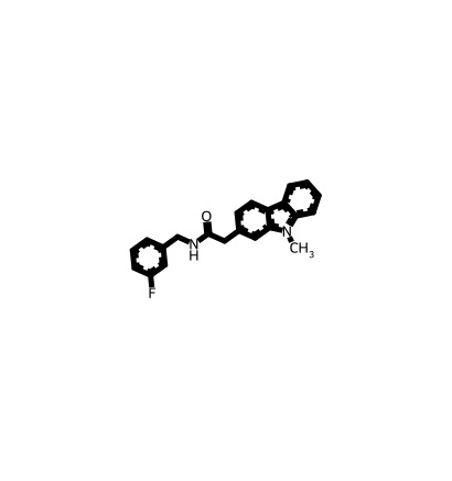 Cn1c2ccccc2c2ccc(CC(=O)NCc3cccc(F)c3)cc21